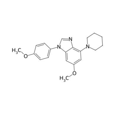 COc1ccc(-n2cnc3c(N4CCCCC4)cc(OC)cc32)cc1